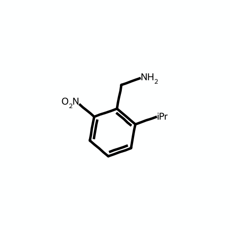 CC(C)c1cccc([N+](=O)[O-])c1CN